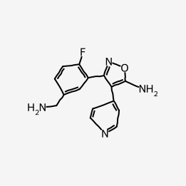 NCc1ccc(F)c(-c2noc(N)c2-c2ccncc2)c1